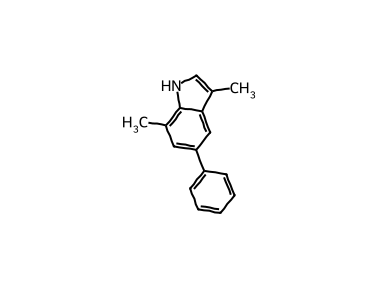 Cc1c[nH]c2c(C)cc(-c3ccccc3)cc12